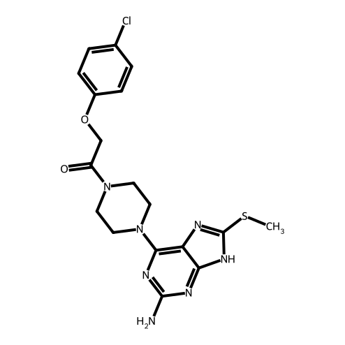 CSc1nc2c(N3CCN(C(=O)COc4ccc(Cl)cc4)CC3)nc(N)nc2[nH]1